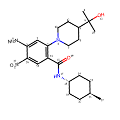 CNc1cc(N2CCC(C(C)(C)O)CC2)c(C(=O)N[C@H]2CC[C@H](C)CC2)cc1[N+](=O)[O-]